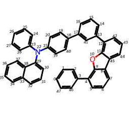 c1ccc(-c2cccc3c2oc2c(-c4cccc(-c5ccc(N(c6ccccc6)c6cccc7ccccc67)cc5)c4)cccc23)cc1